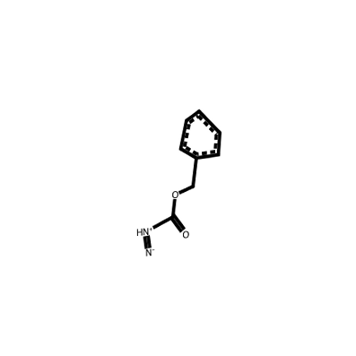 [N-]=[NH+]C(=O)OCc1ccccc1